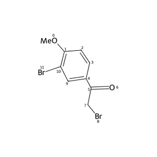 COc1ccc(C(=O)CBr)cc1Br